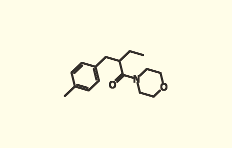 CCC(Cc1ccc(C)cc1)C(=O)N1CCOCC1